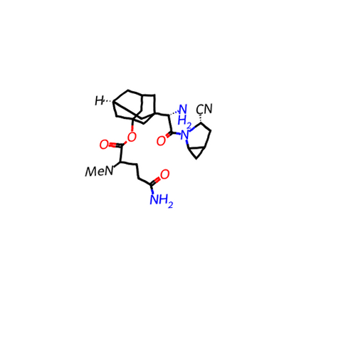 CNC(CCC(N)=O)C(=O)OC12CC3C[C@H](C1)CC([C@H](N)C(=O)N1C4CC4C[C@H]1C#N)(C3)C2